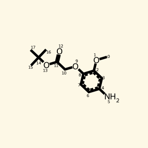 COc1cc(N)ccc1OCC(=O)OC(C)(C)C